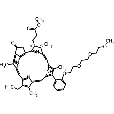 CCC1=C(C)c2cc3[nH]c(cc4nc(c5c6[nH]c(cc1n2)c(C)c6C(=O)C5)[C@@H](CCC(=O)OC)[C@@H]4C)c(C)c3-c1ccccc1OCCOCCOCCOC